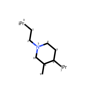 CC(C)CCN1CCC(C(C)C)C(C)C1